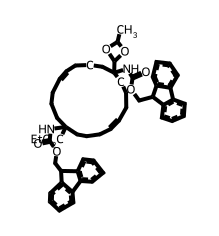 CCOC(=O)C1(NC(=O)OCC2c3ccccc3-c3ccccc32)CCCC=CCCCC(NC(=O)OCC2c3ccccc3-c3ccccc32)(C2OC(C)O2)CCCC=CCCC1